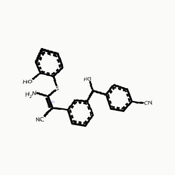 N#C/C(=C(\N)Sc1ccccc1O)c1cccc(C(O)c2ccc(C#N)cc2)c1